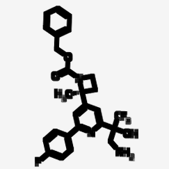 C[C@@]1(c2cc(-c3ccc(F)cc3)nc(C(O)(CN)C(F)(F)F)c2)CCN1C(=O)OCc1ccccc1